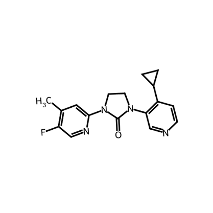 Cc1cc(N2CCN(c3cnccc3C3CC3)C2=O)ncc1F